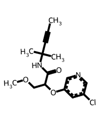 CC#CC(C)(C)NC(=O)C(COC)Oc1cncc(Cl)c1